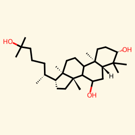 C[C@H](CCCC(C)(C)O)[C@H]1CC[C@@]2(C)C3C(O)C[C@H]4C(C)(C)[C@@H](O)CC[C@]4(C)C3CC[C@]12C